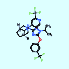 CC(C)n1nc(NC2[C@@H]3CC[C@H]2CN(c2ccnc(C(F)(F)F)c2)C3)nc1Oc1cccc(C(F)(F)F)c1